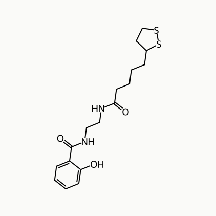 O=C(CCCCC1CCSS1)NCCNC(=O)c1ccccc1O